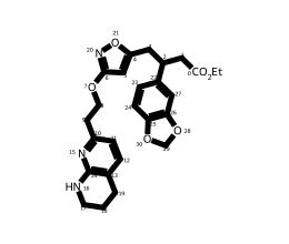 CCOC(=O)CC(Cc1cc(OCCc2ccc3c(n2)NCCC3)no1)c1ccc2c(c1)OCO2